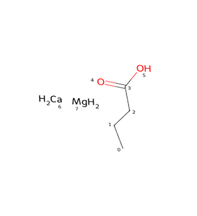 CCCC(=O)O.[CaH2].[MgH2]